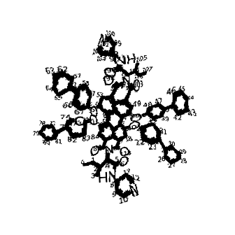 CCC(C)C(C(=O)Nc1ccncc1)N1C(=O)c2cc(Oc3ccc(-c4ccccc4)cc3)c3c4c(Oc5ccc(-c6ccccc6)cc5)cc5c6c(cc(Oc7ccc(-c8ccccc8)cc7)c(c7c(Oc8ccc(-c9ccccc9)cc8)cc(c2c37)C1=O)c64)C(=O)N(C(C(=O)Nc1ccncc1)C(C)CC)C5=O